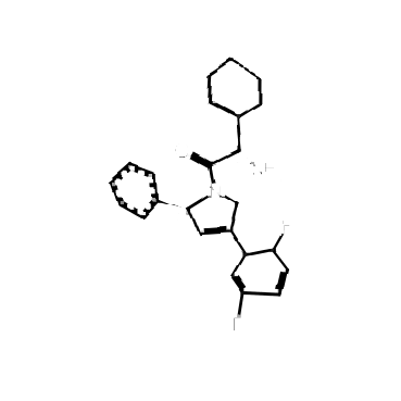 N[C@H](C(=O)N1CC(C2C=C(F)C=CC2F)=C[C@H]1c1ccccc1)C1CCCCC1